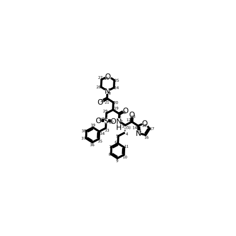 O=C(N[C@@H](CCc1ccccc1)C(=O)c1ncco1)C(CC(=O)N1CCOCC1)CS(=O)(=O)Cc1ccccc1